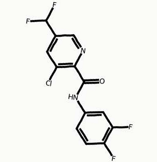 O=C(Nc1ccc(F)c(F)c1)c1ncc(C(F)F)cc1Cl